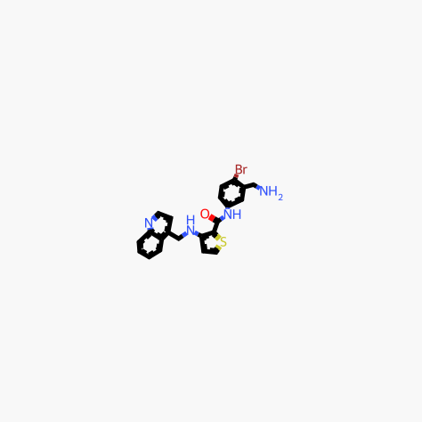 NCc1cc(NC(=O)c2sccc2NCc2ccnc3ccccc23)ccc1Br